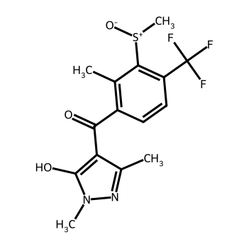 Cc1nn(C)c(O)c1C(=O)c1ccc(C(F)(F)F)c([S+](C)[O-])c1C